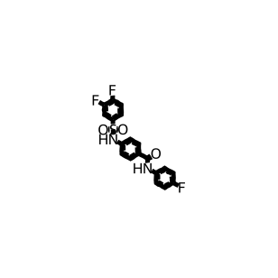 O=C(Nc1ccc(F)cc1)c1ccc(NS(=O)(=O)c2ccc(F)c(F)c2)cc1